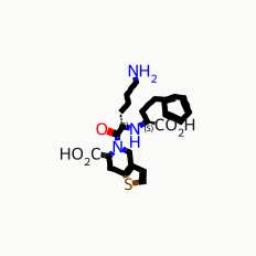 NCCCC[C@H](N[C@@H](CCc1ccccc1)C(=O)O)C(=O)N1Cc2ccsc2CC1C(=O)O